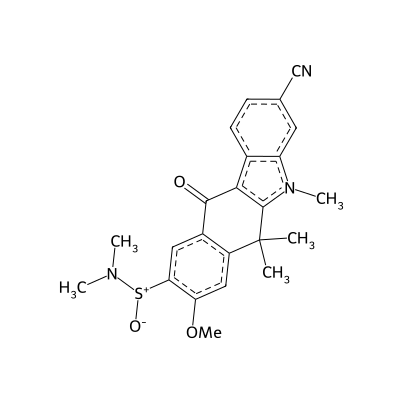 COc1cc2c(cc1[S+]([O-])N(C)C)C(=O)c1c(n(C)c3cc(C#N)ccc13)C2(C)C